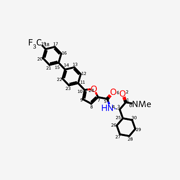 CNC(=O)[C@@H](NC(=O)c1ccc(-c2ccc(-c3ccc(C(F)(F)F)cc3)cc2)o1)C1CCCCC1